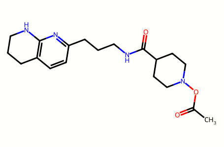 CC(=O)ON1CCC(C(=O)NCCCc2ccc3c(n2)NCCC3)CC1